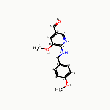 COc1ccc(CNc2ncc(C=O)cc2OC)cc1